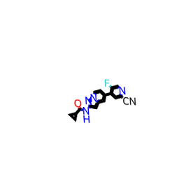 N#Cc1cc(-c2ccn3nc(NC(=O)C4CC4)cc3c2)c(F)cn1